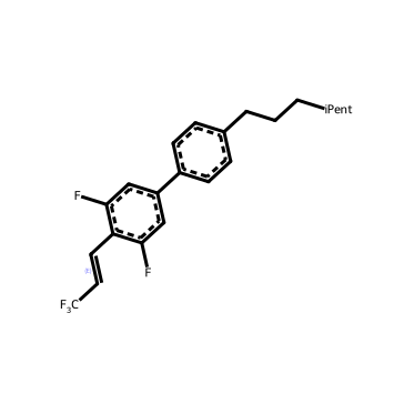 CCCC(C)CCCc1ccc(-c2cc(F)c(/C=C/C(F)(F)F)c(F)c2)cc1